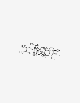 C=C(CC[C@@H](C(=O)O)[C@H]1[C@H](O)C[C@@]2(C)C3=CCC4C(C)(C)[C@H](O)CC[C@]4(C)C3=CC[C@]12C)C(C)C